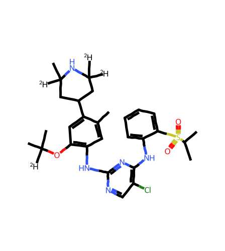 [2H]C1([2H])CC(c2cc(OC([2H])(C)C)c(Nc3ncc(Cl)c(Nc4ccccc4S(=O)(=O)C(C)C)n3)cc2C)CC([2H])(C)N1